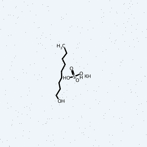 CCCCCCCCCO.O=S(=O)(O)O.[KH]